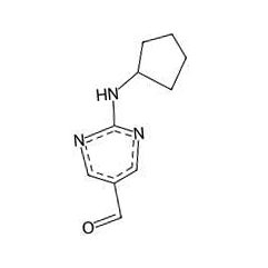 O=Cc1cnc(NC2CCCC2)nc1